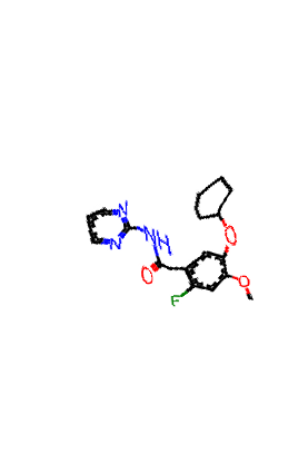 COc1cc(F)c(C(=O)Nc2ncccn2)cc1OC1CCCC1